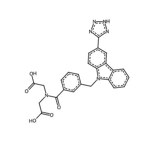 O=C(O)CN(CC(=O)O)C(=O)c1cccc(Cn2c3ccccc3c3cc(-c4nn[nH]n4)ccc32)c1